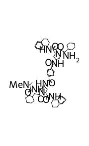 CN[C@@H](C)C(=O)N[C@H](C(=O)N1C[C@@H](NC(=O)c2ccc(C(=O)N[C@H]3C[C@@H](C(=O)N[C@H]4CCCc5ccccc54)N(C(=O)[C@@H](N)C4CCCCC4)C3)cc2)C[C@H]1C(=O)N[C@H]1CCCc2ccccc21)C1CCCCC1